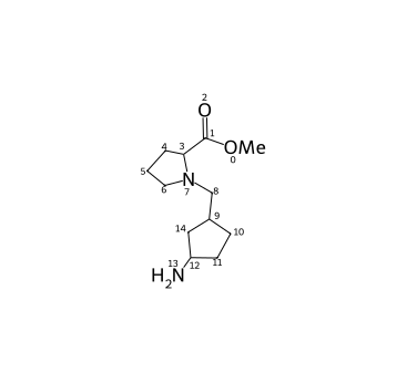 COC(=O)C1CCCN1CC1CCC(N)C1